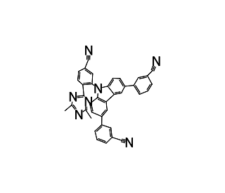 Cc1nc(C)nc(-c2ccc(C#N)cc2-n2c3ccc(-c4cccc(C#N)c4)cc3c3cc(-c4cccc(C#N)c4)ccc32)n1